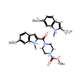 COc1ccc2cc(C(=O)N3CCN(C(=O)OC(C)(C)C)CC3)n(C)c2c1.COc1ccc2cc(C(=O)O)n(C)c2c1